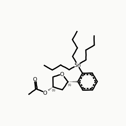 CCC[CH2][Sn]([CH2]CCC)([CH2]CCC)[c]1ccccc1[C@@H]1C[C@H](OC(C)=O)CO1